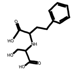 O=C(O)C(CO)NC(CCc1ccccc1)C(=O)O